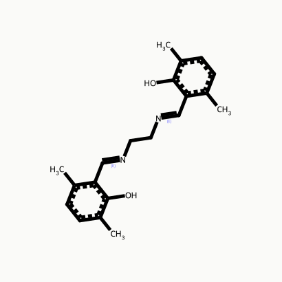 Cc1ccc(C)c(/C=N/CC/N=C/c2c(C)ccc(C)c2O)c1O